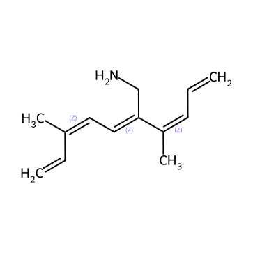 C=C\C=C(C)/C(=C/C=C(/C)C=C)CN